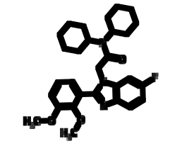 COc1cccc(-c2nc3ccc(F)cc3n2CC(=O)N(C2CCCCC2)C2CCCCC2)c1OC